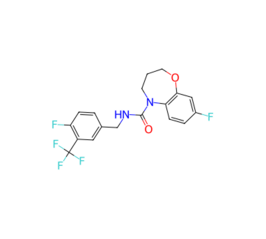 O=C(NCc1ccc(F)c(C(F)(F)F)c1)N1CCCOc2cc(F)ccc21